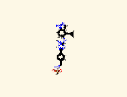 Cn1nc(-c2ccc(CNS(C)(=O)=O)cc2)nc1Nc1ccc2[nH]ncc2c1C1CC1